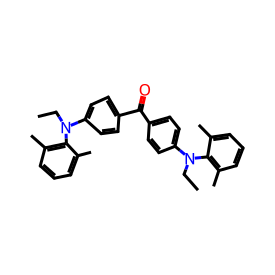 CCN(c1ccc(C(=O)c2ccc(N(CC)c3c(C)cccc3C)cc2)cc1)c1c(C)cccc1C